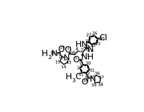 Cc1cc(C(=O)N[C@@H](CCC(=O)N2CCCC2C(N)=O)c2nc3cc(Cl)ccc3[nH]2)ccc1C(=O)N1CCCC1